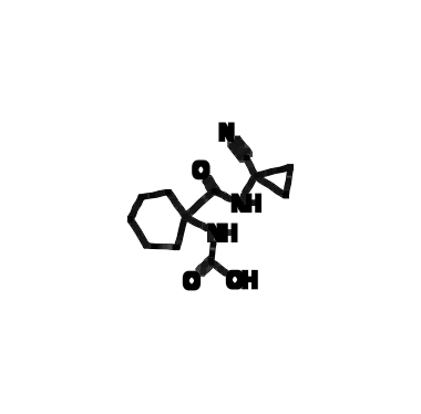 N#CC1(NC(=O)C2(NC(=O)O)CCCCC2)CC1